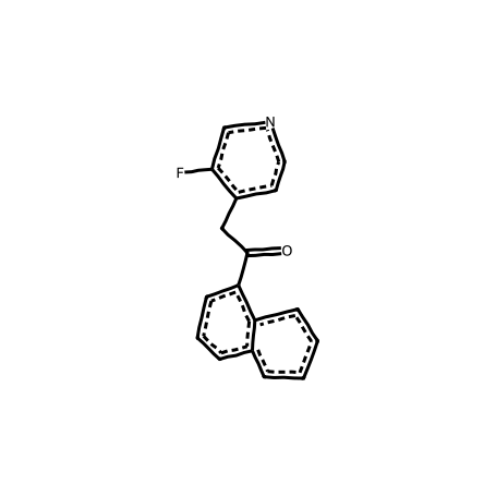 O=C(Cc1ccncc1F)c1cccc2ccccc12